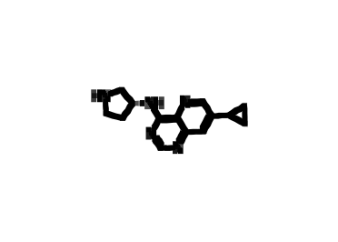 c1nc(N[C@@H]2CCNC2)c2ncc(C3CC3)cc2n1